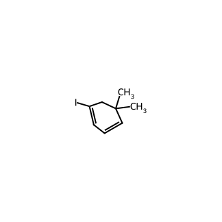 CC1(C)C=CC=C(I)C1